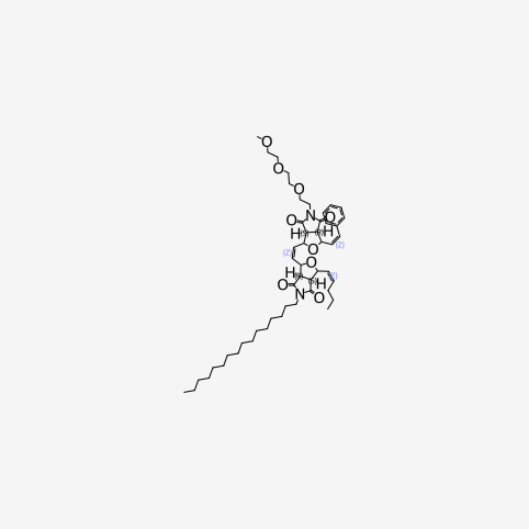 CCC/C=C\C1OC(/C=C\C2OC(/C=C\c3ccccc3)[C@@H]3C(=O)N(CCOCCOCCOC)C(=O)[C@H]23)[C@@H]2C(=O)N(CCCCCCCCCCCCCCCC)C(=O)[C@H]12